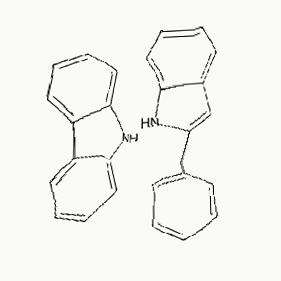 c1ccc(-c2cc3ccccc3[nH]2)cc1.c1ccc2c(c1)[nH]c1ccccc12